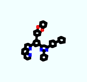 c1ccc(-c2ccc(-c3cc(-c4cc(-c5ccc6c(c5)Oc5ccccc5O6)cc(-c5ccc6ccc7cccnc7c6n5)c4)nc(-c4ccccc4)n3)cc2)cc1